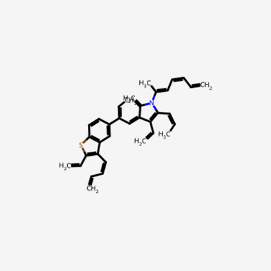 C=C/C=C\C=C(/C)n1c(/C=C\C)c(C=C)/c(=C/C(=C\C)c2ccc3sc(C=C)c(/C=C\C=C)c3c2)c1=C